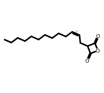 CCCCCCCCCC/C=C\CC1C(=O)OC1=O